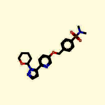 CN(C)S(=O)(=O)c1ccc(COc2ccc(-c3ccnn3C3CCCCO3)nc2)cc1